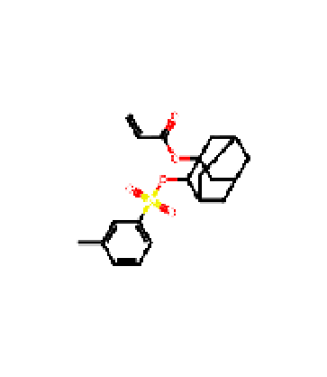 C=CC(=O)OC12CC3CC(CC(C3)C1OS(=O)(=O)c1cccc(C)c1)C2